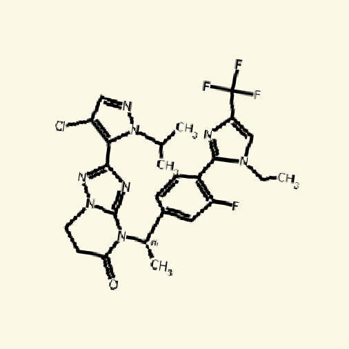 CCn1cc(C(F)(F)F)nc1-c1ccc([C@@H](C)N2C(=O)CCn3nc(-c4c(Cl)cnn4C(C)C)nc32)cc1F